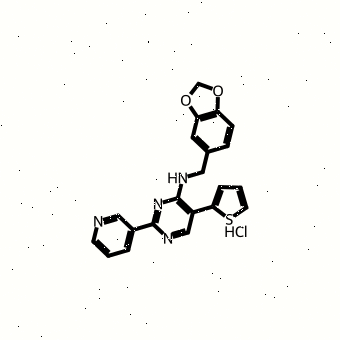 Cl.c1cncc(-c2ncc(-c3cccs3)c(NCc3ccc4c(c3)OCO4)n2)c1